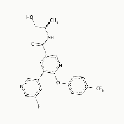 C[C@H](CO)NC(=O)c1cnc(Oc2ccc(C(F)(F)F)cc2)c(-c2cncc(F)c2)c1